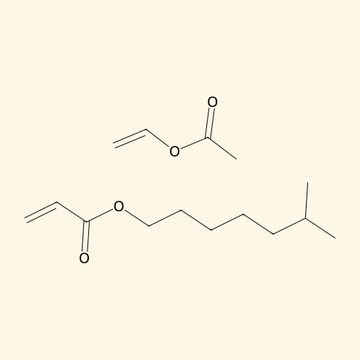 C=CC(=O)OCCCCCC(C)C.C=COC(C)=O